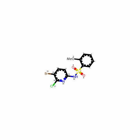 COc1ccccc1S(=O)(=O)Nc1ccc(Br)c(Cl)n1